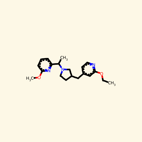 CCOc1cc(CC2CCN(C(C)c3cccc(OC)n3)C2)ccn1